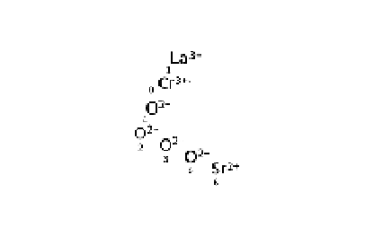 [Cr+3].[La+3].[O-2].[O-2].[O-2].[O-2].[Sr+2]